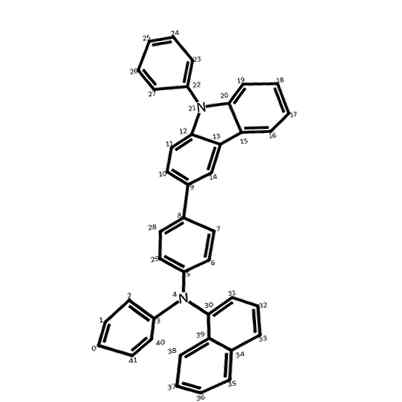 c1ccc(N(c2ccc(-c3ccc4c(c3)c3ccccc3n4-c3ccccc3)cc2)c2cccc3ccccc23)cc1